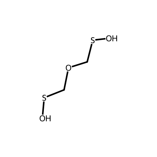 OSCOCSO